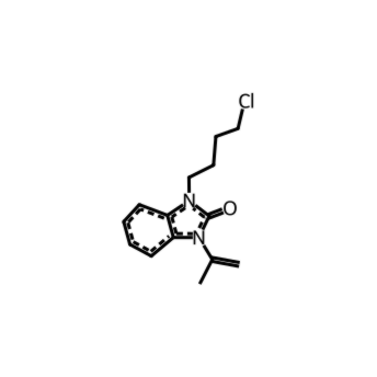 C=C(C)n1c(=O)n(CCCCCl)c2ccccc21